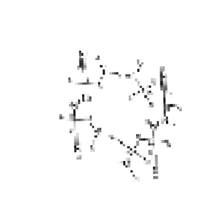 CC(C)CC(C)(C#N)N=NC(C)(C#N)CC(C)C.COC(C)(C)CC(C)(C#N)N=NC(C)(C#N)CC(C)(C)OC